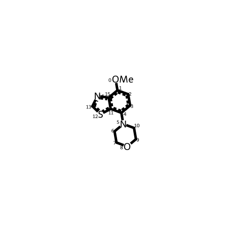 COc1ccc(N2CCOCC2)c2scnc12